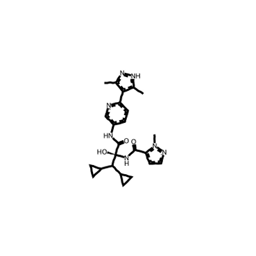 Cc1n[nH]c(C)c1-c1ccc(NC(=O)[C@](O)(NC(=O)c2ccnn2C)C(C2CC2)C2CC2)cn1